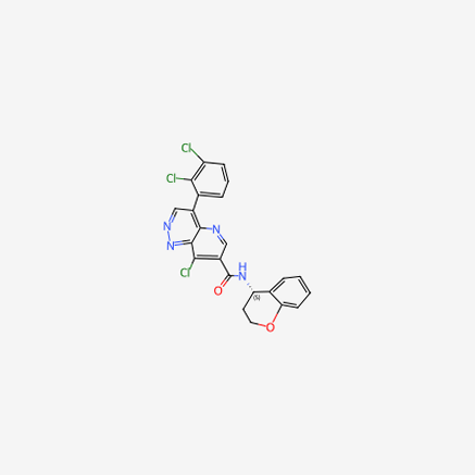 O=C(N[C@H]1CCOc2ccccc21)c1cnc2c(-c3cccc(Cl)c3Cl)cnnc2c1Cl